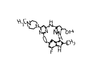 Cc1cc2cc(Oc3nc(Nc4cc(CO)[nH]n4)cc(N4CCN(C)CC4)n3)cc(F)c2[nH]1